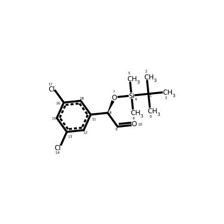 CC(C)(C)[Si](C)(C)O[C@@H](C=O)c1cc(Cl)cc(Cl)c1